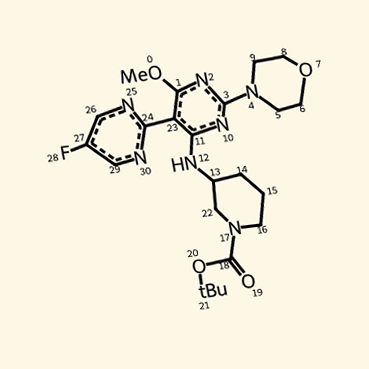 COc1nc(N2CCOCC2)nc(NC2CCCN(C(=O)OC(C)(C)C)C2)c1-c1ncc(F)cn1